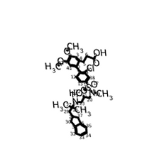 COc1cc(CCC(=O)O)c(-c2ccc(S(=O)(=O)N(C)CC(O)CNC(C)(C)CC3Cc4ccccc4C3)cc2Cl)cc1OC